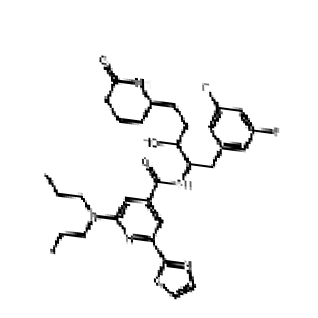 CCCN(CCC)c1cc(C(=O)NC(Cc2cc(F)cc(F)c2)C(O)CCC2CCCC(=O)N2)cc(-c2ncco2)n1